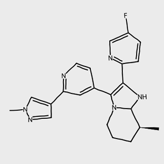 C[C@H]1CCCN2C(c3ccnc(-c4cnn(C)c4)c3)=C(c3ccc(F)cn3)NC12